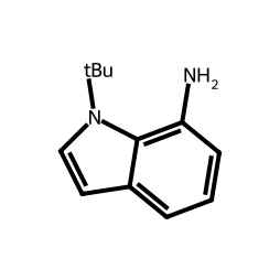 CC(C)(C)n1ccc2cccc(N)c21